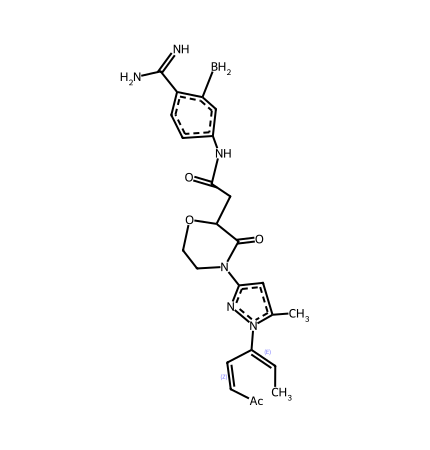 Bc1cc(NC(=O)CC2OCCN(c3cc(C)n(C(/C=C\C(C)=O)=C/C)n3)C2=O)ccc1C(=N)N